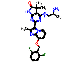 Cc1nc2c(OCc3c(F)cccc3F)cccn2c1-c1nc(NCC(N)C(F)(F)F)c2c(n1)NC(=O)C2(C)C